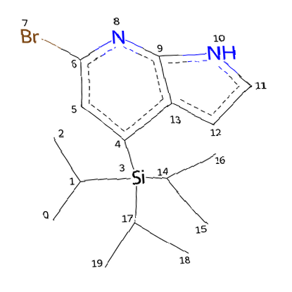 CC(C)[Si](c1cc(Br)nc2[nH]ccc12)(C(C)C)C(C)C